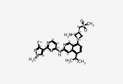 CC(C)c1ccc(N2C[C@H](CS(C)(=O)=O)[C@H]2N)c2cnc(Nc3ccnc(-c4cn(C)nc4F)n3)cc12